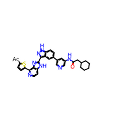 CC(=O)c1ccc(-c2nccc3[nH]c(-c4n[nH]c5ccc(-c6cncc(NC(=O)CC7CCCCC7)c6)cc45)nc23)s1